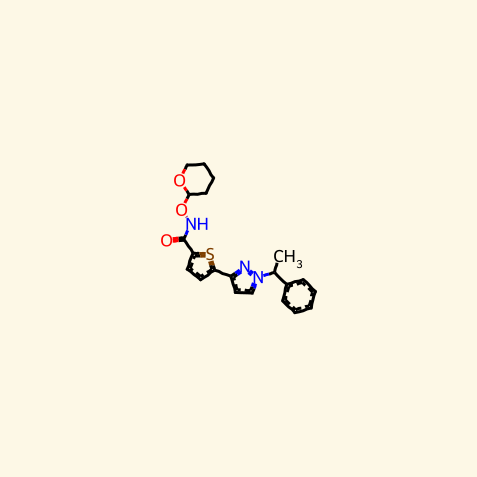 CC(c1ccccc1)n1ccc(-c2ccc(C(=O)NOC3CCCCO3)s2)n1